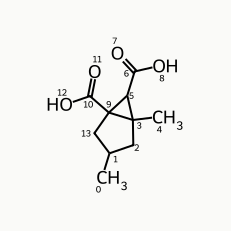 CC1CC2(C)C(C(=O)O)C2(C(=O)O)C1